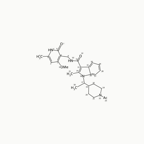 COc1cc(C)[nH]c(=O)c1CNC(=O)c1c(C)n(C(C)C2CCN(C(C)=O)CC2)c2ccccc12